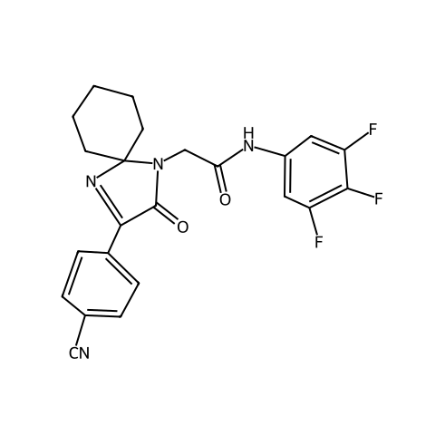 N#Cc1ccc(C2=NC3(CCCCC3)N(CC(=O)Nc3cc(F)c(F)c(F)c3)C2=O)cc1